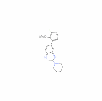 COc1c(F)cccc1-c1ccc2ncc(N3CCCCC3)nc2c1